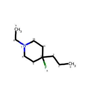 CCCC1(F)CCN(CC)CC1